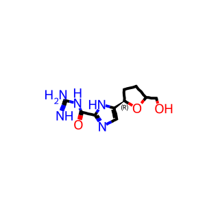 N=C(N)NC(=O)c1ncc([C@H]2CCC(CO)O2)[nH]1